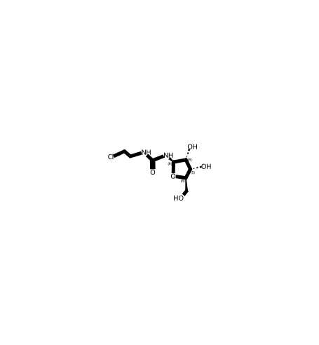 O=C(NCCCl)N[C@@H]1O[C@H](CO)[C@@H](O)[C@H]1O